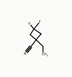 CCC1(C#N)CC(F)(F)C1